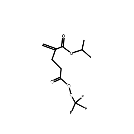 C=C(CCC(=O)OCC(F)(F)F)C(=O)OC(C)C